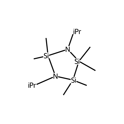 CC(C)N1[Si](C)(C)N(C(C)C)[Si](C)(C)[Si]1(C)C